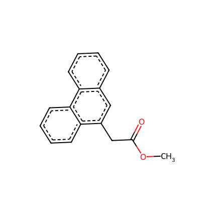 COC(=O)Cc1cc2ccccc2c2ccccc12